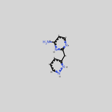 Nc1ccnc(Cc2cccnn2)n1